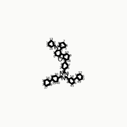 C1=CC2C(c3ccccc3N2c2ccccc2)c2c1oc1c(-c3ccc(-c4nc(-c5ccc(-c6ccccc6)cc5)nc(-c5cccc(-c6ccccc6)c5)n4)cc3)cccc21